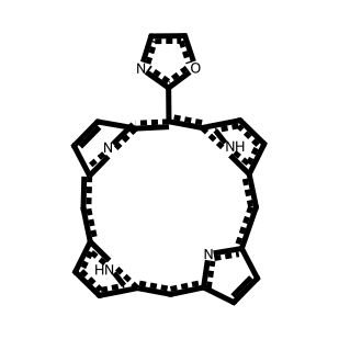 C1=Cc2cc3ccc([nH]3)c(-c3ncco3)c3nc(cc4ccc(cc1n2)[nH]4)C=C3